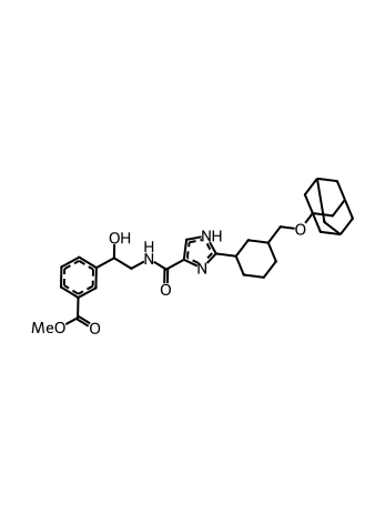 COC(=O)c1cccc(C(O)CNC(=O)c2c[nH]c(C3CCCC(COC45CC6CC(CC(C6)C4)C5)C3)n2)c1